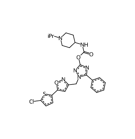 CC(C)N1CCC(NC(=O)Oc2nc(-c3ccccc3)n(Cc3cc(-c4ccc(Cl)s4)on3)n2)CC1